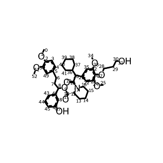 COc1ccc(CCC(OC(=O)[C@H]2CCCCN2C(=O)C(c2cc(OC)c(OCCCO)c(OC)c2)C2CCCCC2)c2cccc(O)c2)cc1OC